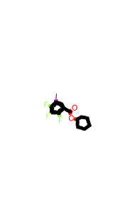 O=C(OC1CCCCC1)c1cc(I)c(F)c(F)c1F